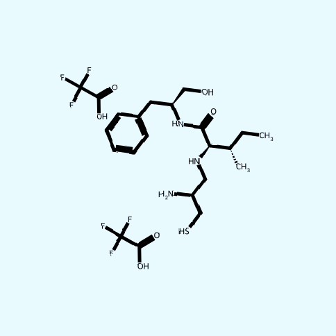 CC[C@H](C)[C@@H](NCC(N)CS)C(=O)N[C@H](CO)Cc1ccccc1.O=C(O)C(F)(F)F.O=C(O)C(F)(F)F